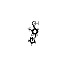 C#Cc1ccc(CN2CCCC2)cc1F